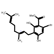 CCCc1cc(O)c(C/C=C(\C)CCC=C(C)C)c(O)c1C(=O)OC